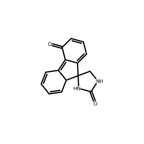 O=C1NCC2(N1)C1=CC=CC(=O)C1=C1C=CC=CC12